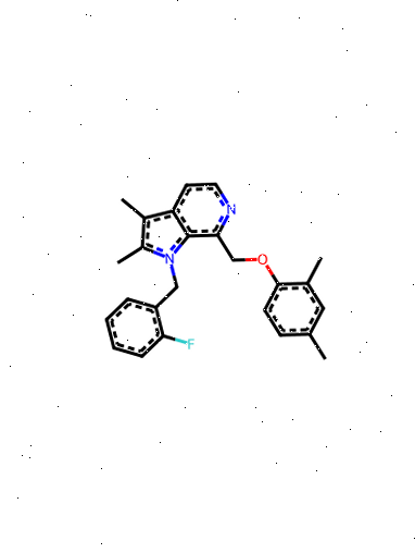 Cc1ccc(OCc2nccc3c(C)c(C)n(Cc4ccccc4F)c23)c(C)c1